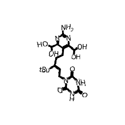 CC(C)(C)C(CCc1c(C(O)O)nc(N)nc1C(O)O)CCn1c(=O)[nH]c(=O)[nH]c1=O